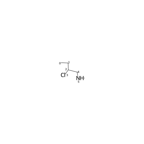 CCC(Cl)C[NH]